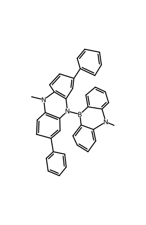 CN1c2ccccc2B(N2c3cc(-c4ccccc4)ccc3N(C)c3ccc(-c4ccccc4)cc32)c2ccccc21